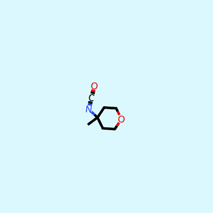 CC1(N=C=O)CCOCC1